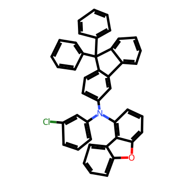 Clc1cccc(N(c2ccc3c(c2)-c2ccccc2C3(c2ccccc2)c2ccccc2)c2cccc3oc4ccccc4c23)c1